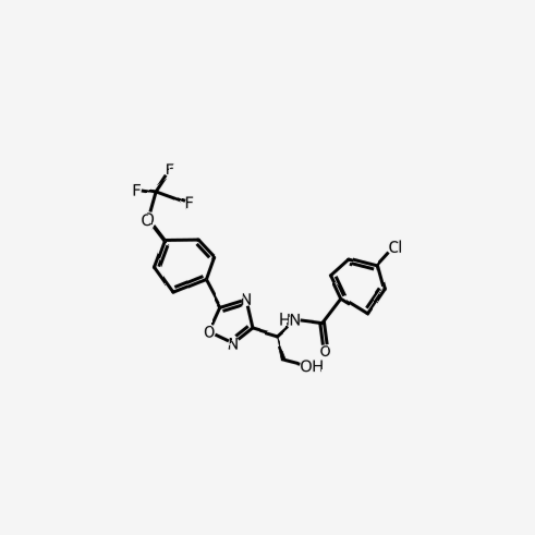 O=C(N[C@@H](CO)c1noc(-c2ccc(OC(F)(F)F)cc2)n1)c1ccc(Cl)cc1